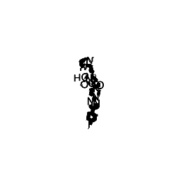 O=CN(O)[C@@H](CCCc1ncccn1)CS(=O)(=O)N1CCN(c2ncc(-c3ccc(F)cc3)cn2)CC1